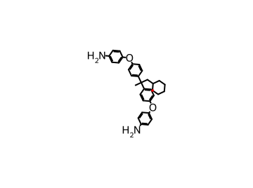 CC(CC1CCCCC1)(c1ccc(Oc2ccc(N)cc2)cc1)c1ccc(Oc2ccc(N)cc2)cc1